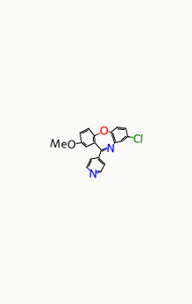 COc1ccc2c(c1)C(c1ccncc1)=Nc1cc(Cl)ccc1O2